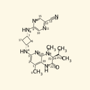 Cc1cc(N[C@H]2C[C@@H](Nc3cnc(C#N)cn3)C2)nc2c1NC(=O)[C@H](C(C)C)N2C